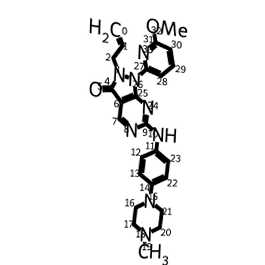 C=CCn1c(=O)c2cnc(Nc3ccc(N4CCN(C)CC4)cc3)nc2n1-c1cccc(OC)n1